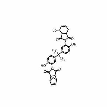 CCC1C=CCC2C(=O)N(c3cc(C(c4ccc(O)c(N5C(=O)C6C7C=CC(C7)C6C5=O)c4)(C(F)(F)F)C(F)(F)F)ccc3O)C(=O)C12